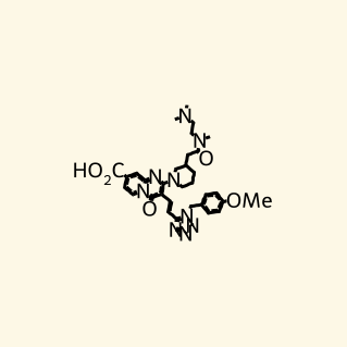 COc1ccc(Cn2nnnc2C=Cc2c(N3CCCC(CC(=O)N(C)CCN(C)C)C3)nc3cc(C(=O)O)ccn3c2=O)cc1